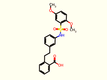 COc1ccc(OC)c(S(=O)(=O)Nc2cccc(CCc3ccccc3C(=O)O)c2)c1